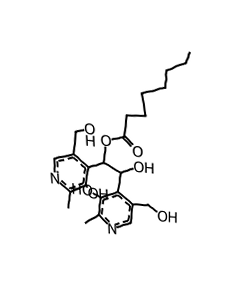 CCCCCCCC(=O)OC(c1c(CO)cnc(C)c1O)C(O)c1c(CO)cnc(C)c1O